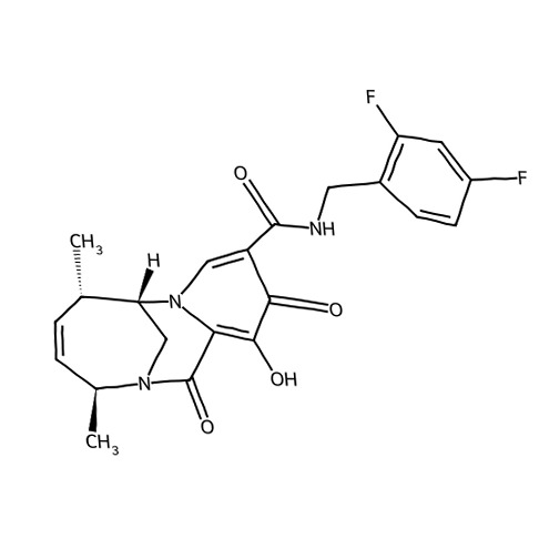 C[C@H]1C=C[C@H](C)N2C[C@H]1n1cc(C(=O)NCc3ccc(F)cc3F)c(=O)c(O)c1C2=O